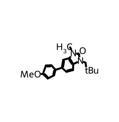 COc1ccc(-c2ccc3c(c2)n(C)c(=O)n3CC(C)(C)C)cc1